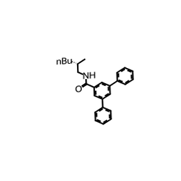 CCCC[C@H](C)CNC(=O)c1cc(-c2ccccc2)cc(-c2ccccc2)c1